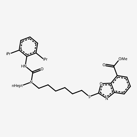 CCCCCCCN(CCCCCCSc1nc2cccc(C(=O)OC)c2o1)C(=O)Nc1c(C(C)C)cccc1C(C)C